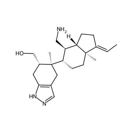 CC=C1CC[C@H]2[C@H](CN)[C@@H]([C@@]3(C)Cc4cn[nH]c4C[C@@H]3CO)CC[C@]12C